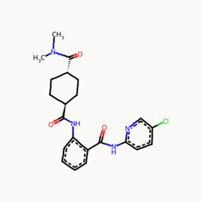 CN(C)C(=O)[C@H]1CC[C@H](C(=O)Nc2ccccc2C(=O)Nc2ccc(Cl)cn2)CC1